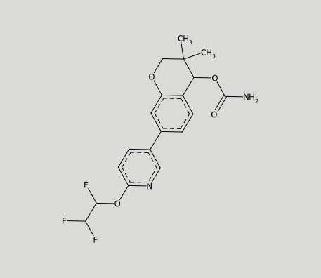 CC1(C)COc2cc(-c3ccc(OC(F)C(F)F)nc3)ccc2C1OC(N)=O